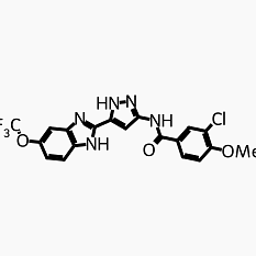 COc1ccc(C(=O)Nc2cc(-c3nc4cc(OC(F)(F)F)ccc4[nH]3)[nH]n2)cc1Cl